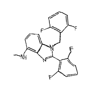 CNc1cccc2c1nc(-c1c(F)cccc1F)n2Cc1c(F)cccc1F